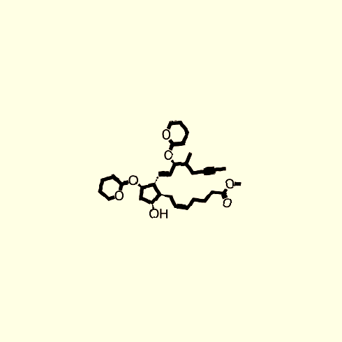 CC#CCC(C)[C@@H](/C=C/[C@@H]1[C@@H](C/C=C\CCCC(=O)OC)[C@H](O)C[C@H]1OC1CCCCO1)OC1CCCCO1